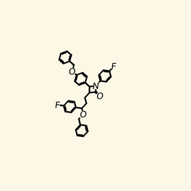 O=C1C(CCC(OCc2ccccc2)c2ccc(F)cc2)C(c2ccc(OCc3ccccc3)cc2)N1c1ccc(F)cc1